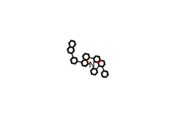 c1ccc(-c2ccccc2-c2ccccc2N(c2ccc(-c3cccc(-c4ccc5ccccc5c4)c3)cc2)c2ccccc2-c2ccccc2)cc1